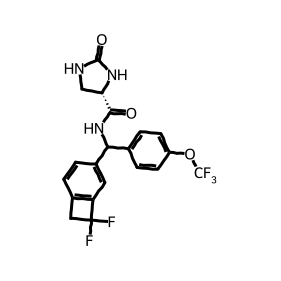 O=C1NC[C@@H](C(=O)NC(c2ccc(OC(F)(F)F)cc2)c2ccc3c(c2)C(F)(F)C3)N1